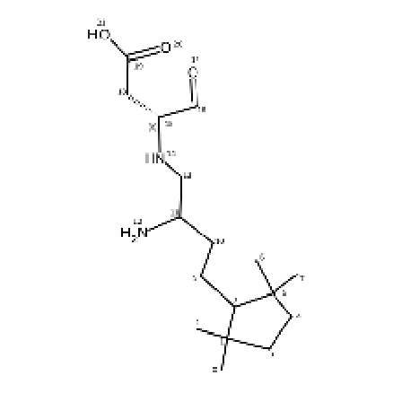 CC1(C)CCC(C)(C)C1CCC(N)CN[C@@H](C=O)CC(=O)O